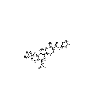 CNc1c(N2CCN(C(=O)Cn3cncn3)C(C(C)C)C2)nc(C2CC2)c2c1CC(C)(C)OC2